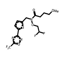 COCCCC(=O)N(Cc1ccc(-c2noc(C(F)(F)F)n2)s1)OCC(F)F